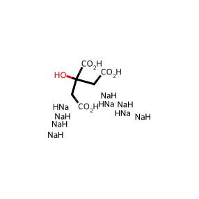 O=C(O)CC(O)(CC(=O)O)C(=O)O.[NaH].[NaH].[NaH].[NaH].[NaH].[NaH].[NaH].[NaH].[NaH]